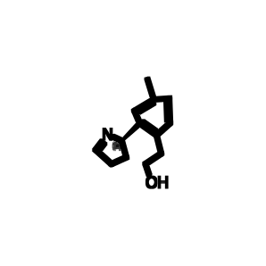 Cc1ccc(CCO)c([C@H]2CCC=N2)c1